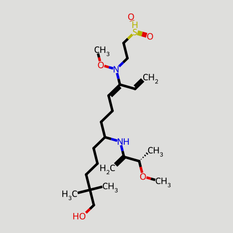 C=C/C(=C\CCC(CCCC(C)(C)CO)NC(=C)[C@H](C)OC)N(CC[SH](=O)=O)OC